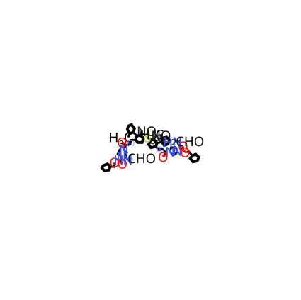 Cc1ccccc1-c1c(/C=C/C(=O)N2CCN(C(=O)OCc3ccccc3)C(NC=O)C2)ccc(Sc2ccc(/C=C/C(=O)N3CCN(C(=O)OCc4ccccc4)C(NC=O)C3)c(-c3ccccc3C)c2[N+](=O)[O-])c1[N+](=O)[O-]